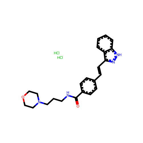 Cl.Cl.O=C(NCCCN1CCOCC1)c1ccc(/C=C/c2n[nH]c3ccccc23)cc1